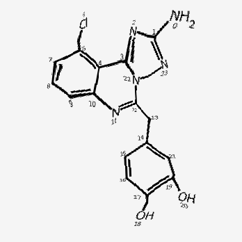 Nc1nc2c3c(Cl)cccc3nc(Cc3ccc(O)c(O)c3)n2n1